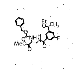 CCO[C@H](C)c1cc(F)cc(C(=O)NC[C@@H](NC(=O)OCc2ccccc2)C(=O)OC)c1